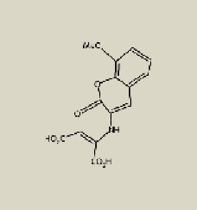 COc1cccc2cc(NC(=CC(=O)O)C(=O)O)c(=O)oc12